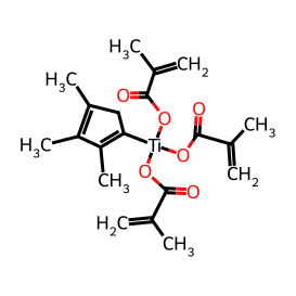 C=C(C)C(=O)[O][Ti]([O]C(=O)C(=C)C)([O]C(=O)C(=C)C)[C]1=C(C)C(C)=C(C)C1